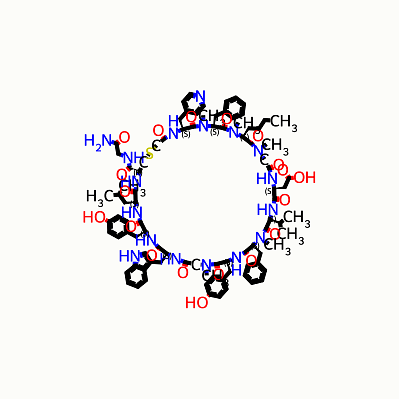 CCCC[C@H]1C(=O)N(C)CC(=O)N[C@@H](CC(=O)O)C(=O)N[C@@H](C(C)C)C(=O)N(C)[C@@H](Cc2ccccc2)C(=O)N[C@@H](Cc2ccc(O)cc2)C(=O)N(C)CC(=O)N[C@@H](Cc2c[nH]c3ccccc23)C(=O)N[C@@H](Cc2ccc(O)cc2)C(=O)N[C@@H](CC(C)C)C(=O)N[C@H](C(=O)NCC(N)=O)CSCC(=O)N[C@@H](Cc2ccncc2)C(=O)N(C)[C@@H](Cc2ccccc2)C(=O)N1C